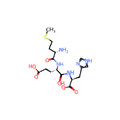 CSCC[C@H](N)C(=O)N[C@@H](CCC(=O)O)C(=O)N[C@@H](Cc1c[nH]cn1)C(=O)O